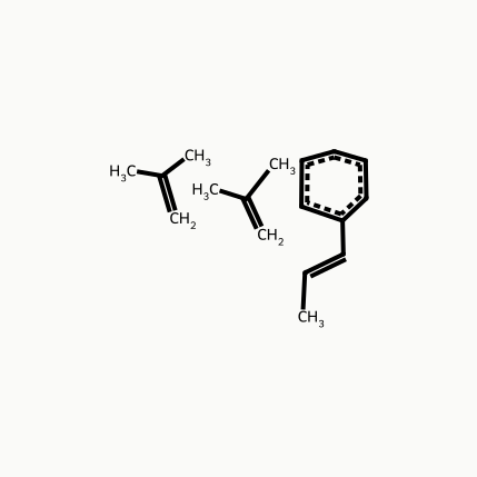 C=C(C)C.C=C(C)C.CC=Cc1ccccc1